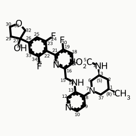 C[C@@H]1C[C@H](NC(=O)O)CN(c2ccncc2NCc2ccc(F)c(-c3c(F)cc(C4(O)CCOC4)cc3F)n2)C1